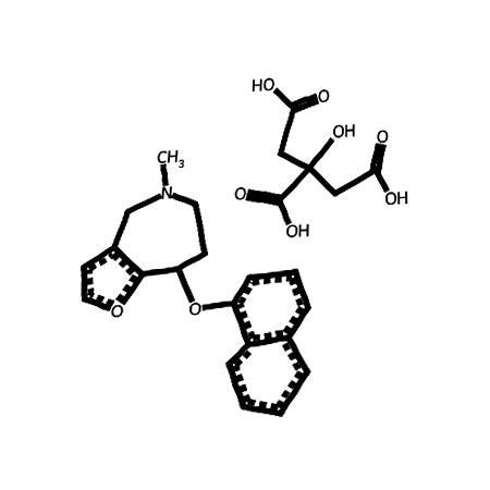 CN1CCC(Oc2cccc3ccccc23)c2occc2C1.O=C(O)CC(O)(CC(=O)O)C(=O)O